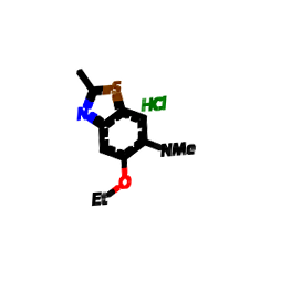 CCOc1cc2nc(C)sc2cc1NC.Cl